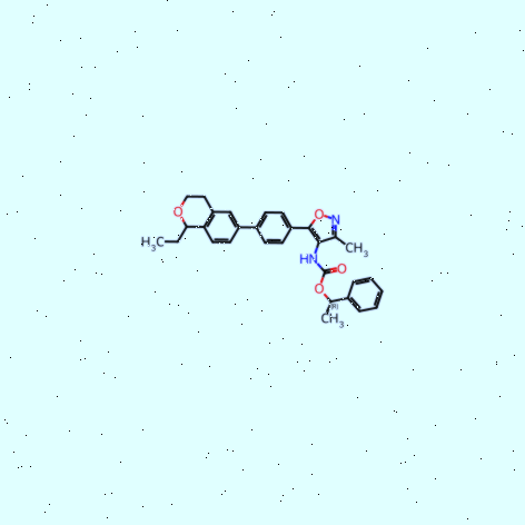 CCC1OCCc2cc(-c3ccc(-c4onc(C)c4NC(=O)O[C@H](C)c4ccccc4)cc3)ccc21